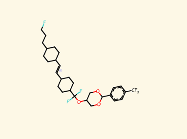 FCCCC1CCC(/C=C/C2CCC(C(F)(F)OC3COC(c4ccc(C(F)(F)F)cc4)OC3)CC2)CC1